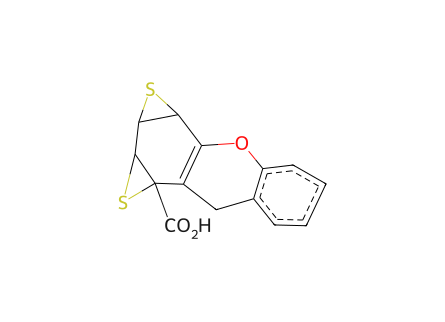 O=C(O)C12SC1C1SC1C1=C2Cc2ccccc2O1